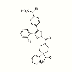 CCC(c1ccc(-c2cc(C(=O)N3CCC(C(N)=O)(c4ccccc4)CC3)sc2-c2ccccc2Cl)cc1)S(=O)(=O)O